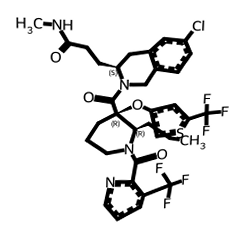 CCC[C@H]1N(C(=O)c2ncccc2C(F)(F)F)CCC[C@]1(Oc1csc(C(F)(F)F)c1)C(=O)N1Cc2ccc(Cl)cc2C[C@@H]1CCC(=O)NC